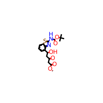 COC(=O)CC(=O)CC(O)c1cccc2sc(NC(=O)OC(C)(C)C)nc12